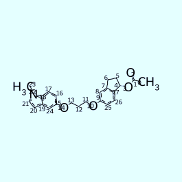 CC(=O)O[C@H]1CCc2cc(OCCCOc3ccc4c(ccn4C)c3)ccc21